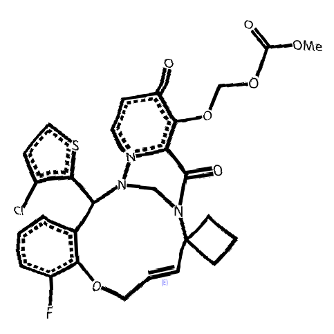 COC(=O)OCOc1c2n(ccc1=O)N1CN(C2=O)C2(/C=C/COc3c(F)cccc3C1c1sccc1Cl)CCC2